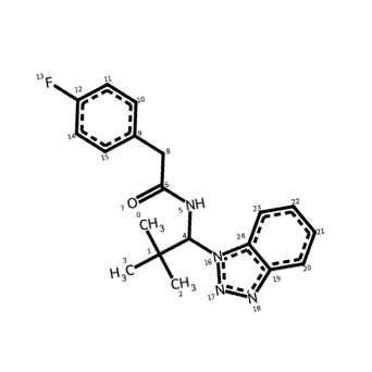 CC(C)(C)C(NC(=O)Cc1ccc(F)cc1)n1nnc2ccccc21